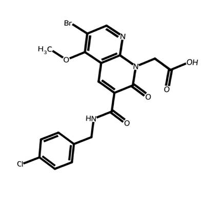 COc1c(Br)cnc2c1cc(C(=O)NCc1ccc(Cl)cc1)c(=O)n2CC(=O)O